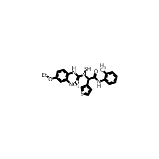 CCOc1ccc(NC(=O)N(S)C(C(=O)Nc2ccccc2C)c2ccsc2)c([N+](=O)[O-])c1